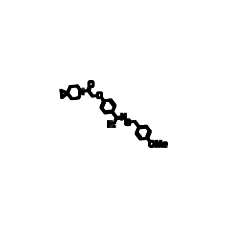 CCC(=NOCc1ccc(OC)cc1)c1ccc(OCC(=O)N2CCC3(CC2)CC3)cc1